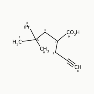 C#CCC(CC(C)(C)C(C)C)C(=O)O